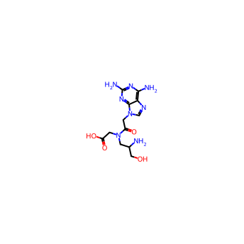 Nc1nc(N)c2ncn(CC(=O)N(CC(=O)O)CC(N)CO)c2n1